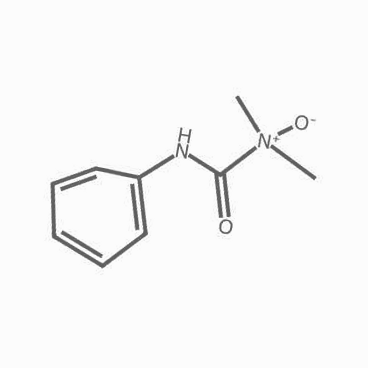 C[N+](C)([O-])C(=O)Nc1ccccc1